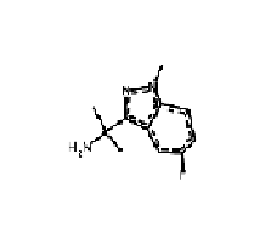 Cn1nc(C(C)(C)N)c2cc(F)ccc21